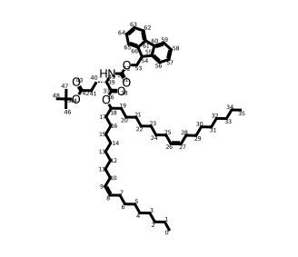 CCCCCCCC/C=C\CCCCCCCCC(CCCCCCC/C=C\CCCCCCCC)OC(=O)[C@H](CCC(=O)OC(C)(C)C)NC(=O)OCC1c2ccccc2-c2ccccc21